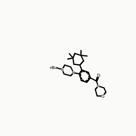 CCCCN1CCN(c2ccc(C(=O)N3CCOCC3)cc2C2CC(C)(C)CC(C)(C)C2)CC1